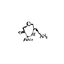 CNN1C[C@H](CN)COCC1=O